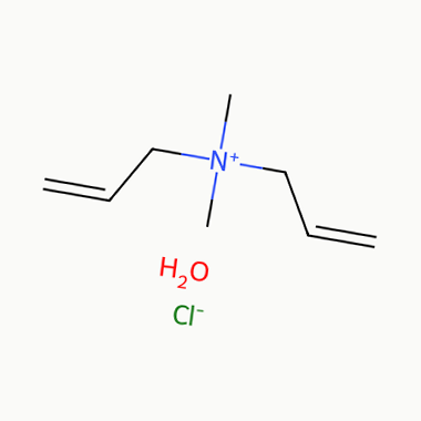 C=CC[N+](C)(C)CC=C.O.[Cl-]